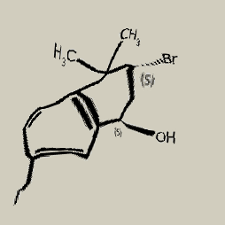 CC1(C)c2ccc(I)cc2[C@H](O)[C@H]1Br